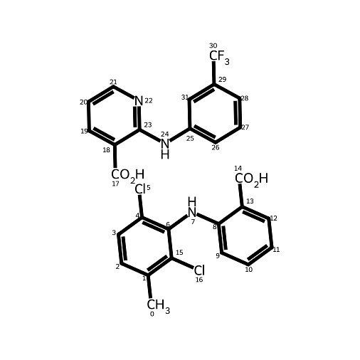 Cc1ccc(Cl)c(Nc2ccccc2C(=O)O)c1Cl.O=C(O)c1cccnc1Nc1cccc(C(F)(F)F)c1